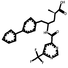 C[C@H](CC(Cc1ccc(-c2ccccc2)cc1)NC(=O)c1cc(C(F)(F)F)ncn1)C(=O)O